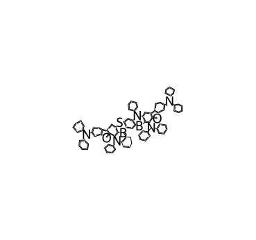 C1=CC2=C(CC1)B1c3cc4c(cc3Sc3cc5c(oc6cc(N(c7ccccc7)c7ccccc7)ccc65)c(c31)N2c1ccccc1)N(c1ccccc1)c1cc2c(oc3cc(N(c5ccccc5)c5ccccc5)ccc32)c2c1B4c1ccccc1N2c1ccccc1